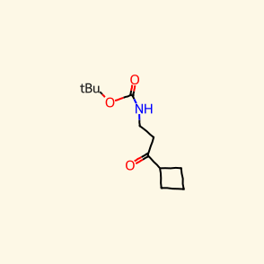 CC(C)(C)OC(=O)NCCC(=O)C1CCC1